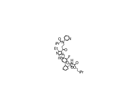 CCCc1nc(CC)c(C(=O)CCN(C(=O)C(C)C)c2cccnc2)n1Cc1ccc(-c2ccccc2S(=O)(=O)NC(=O)OCCC(C)C)cc1F